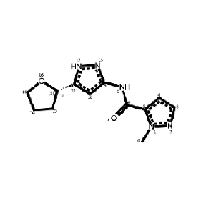 Cn1nccc1C(=O)Nc1cc([C@@H]2CCCO2)[nH]n1